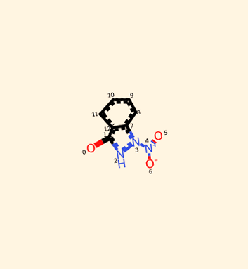 O=c1[nH]n([N+](=O)[O-])c2ccccc12